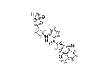 N#Cc1sc(C(=O)c2cncnc2N[C@H]2CC[C@@H](COS(N)(=O)=O)C2)cc1C1OCCc2ccccc21